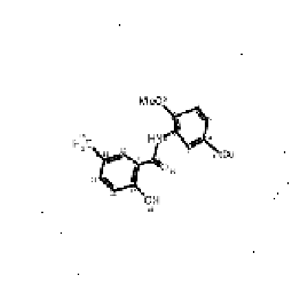 COc1ccc(C(C)(C)C)cc1NC(=O)c1cc(C)ccc1O